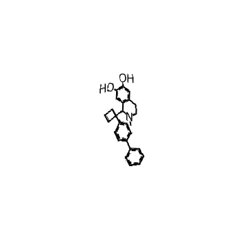 CN1CCc2cc(O)c(O)cc2C1C1(c2ccc(-c3ccccc3)cc2)CCC1